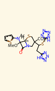 COC1(N(C(C)=O)c2cccs2)C(=O)N2CC(C(=O)O)(C(Cc3nnn[nH]3)Sc3nnn[nH]3)CS[C@@H]21